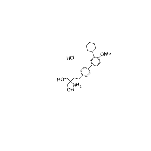 COc1ccc(-c2ccc(CCC(N)(CO)CO)cc2)cc1C1CCCCC1.Cl